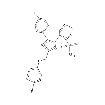 CS(=O)(=O)c1ccccc1-c1sc(COc2ccc(F)cc2)nc1-c1ccc(F)cc1